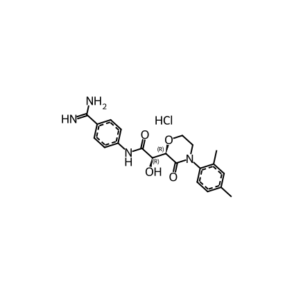 Cc1ccc(N2CCO[C@H]([C@@H](O)C(=O)Nc3ccc(C(=N)N)cc3)C2=O)c(C)c1.Cl